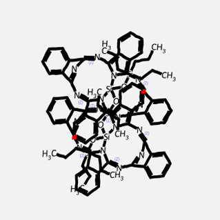 CCC[Si](CCC)(CCC)O[Si]1(O[Si](CC)(CC)O[Si]2(O[Si](CCC)(CCC)CCC)n3c4c5ccccc5c3/N=C3N=C(/N=c5/c6ccccc6/c(n52)=N/C2=NC(=N\4)/c4ccccc42)c2ccccc2\3)n2c3c4ccccc4c2/N=C2N=C(/N=c4/c5ccccc5/c(n41)=N/C1=NC(=N\3)/c3ccccc31)c1ccccc1\2